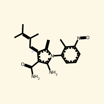 C=c1/c(=C\C(C)=C(C)C)c(C(N)=O)c(N)n1-c1cccc(N=O)c1C